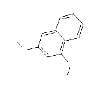 CCOc1[c]c(OCC)c2ccccc2c1